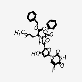 CSCC[C@H](NP(=O)(OC[C@H]1O[C@@H](n2cc(F)c(=O)[nH]c2=O)C[C@H]1O)Oc1ccccc1)C(=O)OCc1ccccc1